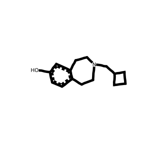 Oc1ccc2c(c1)CCN(CC1CCC1)CC2